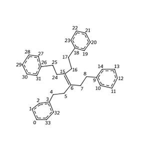 c1ccc(CCC(CCc2ccccc2)=C(CCc2ccccc2)CCc2ccccc2)cc1